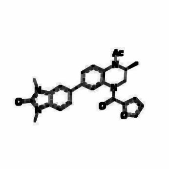 CC(=O)N1c2ccc(-c3ccc4c(c3)n(C)c(=O)n4C)cc2N(C(=O)c2ccco2)C[C@@H]1C